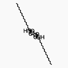 CCCCCCCCCCCCCCCCCCNP1OCC2(CO1)COP(NCCCCCCCCCCCCCCCCCC)OC2